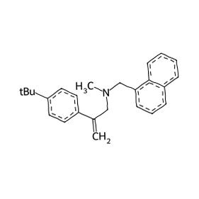 C=C(CN(C)Cc1cccc2ccccc12)c1ccc(C(C)(C)C)cc1